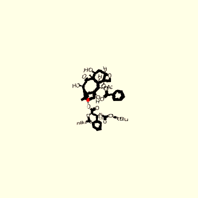 CCCCC(=O)O[C@@H](C(=O)O[C@H]1C[C@@]2(O)[C@@H](OC(=O)c3ccccc3)[C@@H]3[C@]4(OC(C)=O)CO[C@@H]4C[C@H](O)[C@@]3(C)C(=O)[C@H](O)C(=C1C)C2(C)C)[C@@H](NC(=O)OC(C)(C)C)c1ccccc1